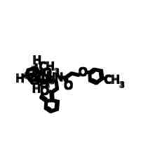 Cc1ccc(OCCC(=O)NC(Cc2occ3ccccc23)B2O[C@@H]3C[C@@H]4C[C@@H](C4(C)C)[C@]3(C)O2)cc1